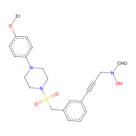 CCOc1ccc(N2CCN(S(=O)(=O)Cc3cccc(C#CCN(O)C=O)c3)CC2)cc1